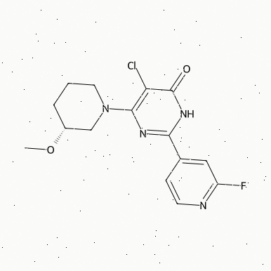 CO[C@@H]1CCCN(c2nc(-c3ccnc(F)c3)[nH]c(=O)c2Cl)C1